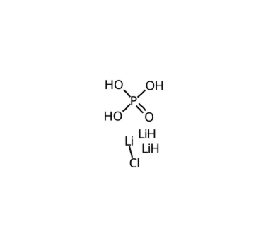 O=P(O)(O)O.[LiH].[LiH].[Li][Cl]